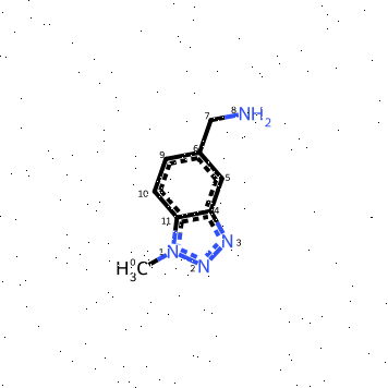 Cn1nnc2cc(CN)ccc21